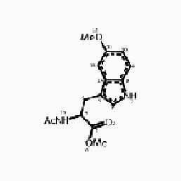 COC(=O)C(Cc1c[nH]c2ccc(OC)cc12)NC(C)=O